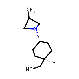 C[C@]1(CC#N)CC[C@H](N2CC(C(F)(F)F)C2)CC1